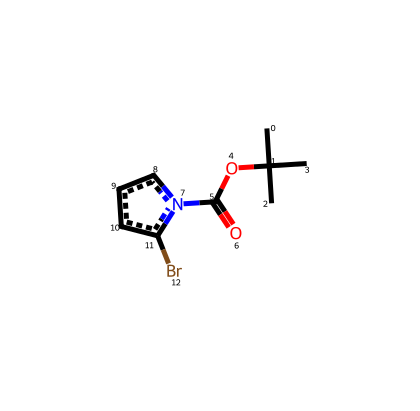 CC(C)(C)OC(=O)n1cccc1Br